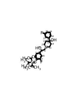 CC(C)[Si](Oc1ccc(C(O)CN2CCC(O)(c3cccc(F)c3)CC2)cc1F)(C(C)C)C(C)C